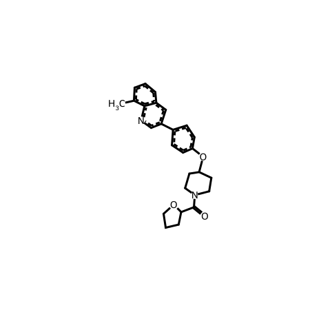 Cc1cccc2cc(-c3ccc(OC4CCN(C(=O)C5CCCO5)CC4)cc3)cnc12